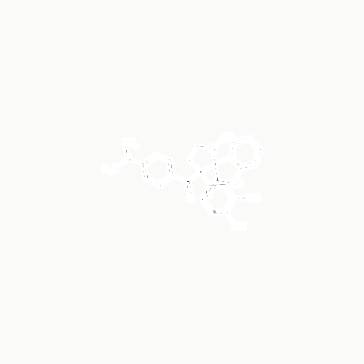 CN(C)c1ccc(C(=O)C2(c3ccc(O)c(O)c3)CCN(C)C23C(=O)Nc2ccccc23)cc1